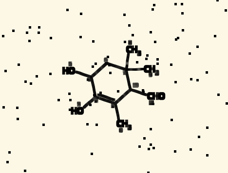 CC1=C(O)C(O)CC(C)(C)C1C=O